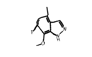 COc1c(F)cc(C)c2cn[nH]c12